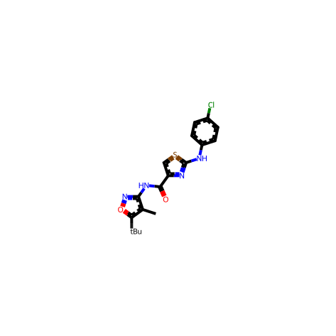 Cc1c(NC(=O)c2csc(Nc3ccc(Cl)cc3)n2)noc1C(C)(C)C